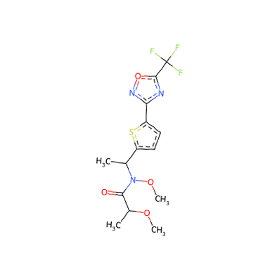 COC(C)C(=O)N(OC)C(C)c1ccc(-c2noc(C(F)(F)F)n2)s1